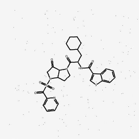 O=C(NC(CC1CCCCC1)C(=O)N1CCC2C1C(=O)CN2S(=O)(=O)C(=O)c1ccccn1)c1csc2ccccc12